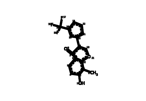 Cc1c(O)ccc2c(=O)c(-c3cccc(C(F)(F)F)c3)coc12